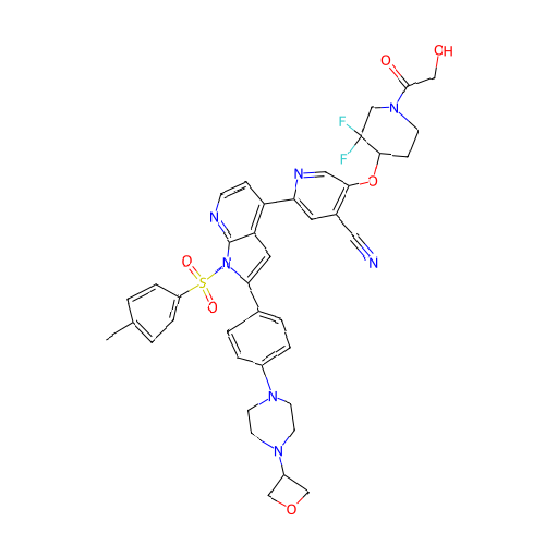 Cc1ccc(S(=O)(=O)n2c(-c3ccc(N4CCN(C5COC5)CC4)cc3)cc3c(-c4cc(C#N)c(OC5CCN(C(=O)CO)CC5(F)F)cn4)ccnc32)cc1